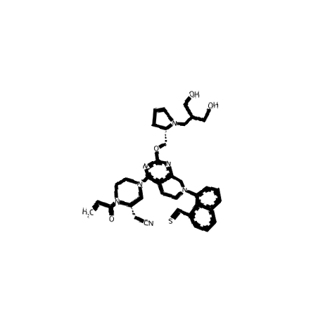 C=CC(=O)N1CCN(c2nc(OC[C@@H]3CCCN3CC(CO)CO)nc3c2CCN(c2cccc4cccc(C=S)c24)C3)C[C@@H]1CC#N